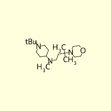 CN(CCC(C)(C)N1CCOCC1)C1CCN(C(C)(C)C)CC1